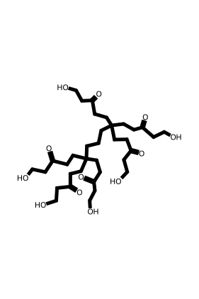 O=C(CCO)CCC(CCCC(CCC(=O)CCO)(CCC(=O)CCO)CCC(=O)CCO)(CCC(=O)CCO)CCC(=O)CCO